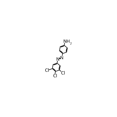 Nc1ccc(N=Nc2cc(Cl)c(Cl)c(Cl)c2)cc1